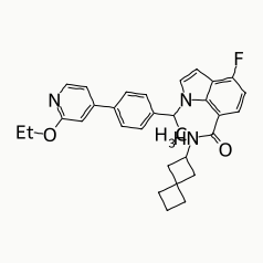 CCOc1cc(-c2ccc(C(C)n3ccc4c(F)ccc(C(=O)NC5CC6(CCC6)C5)c43)cc2)ccn1